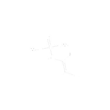 CC/C(=C\Cl)OP(=O)(OC)OC